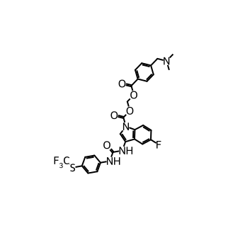 CN(C)Cc1ccc(C(=O)OCOC(=O)n2cc(NC(=O)Nc3ccc(SC(F)(F)F)cc3)c3cc(F)ccc32)cc1